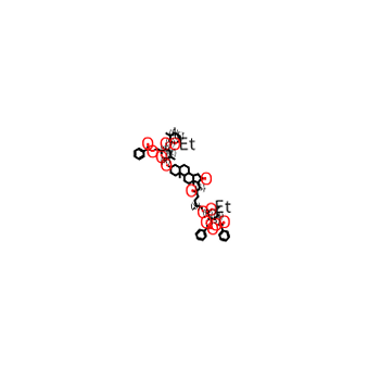 CCC1O[C@@H](O[C@@H]2C(COC(=O)c3ccccc3)O[C@@H](OC3CCC4(C)C(CCC5C4CCC4(C)C5CC(=O)C4[C@H](C)C(=O)CC[C@H](C)CO[C@@H]4OC(CC)[C@@H](C)[C@H](OC(=O)c5ccccc5)C4OC(=O)c4ccccc4)C3)C(C)[C@H]2C)C(C)[C@@H](C)[C@@H]1C